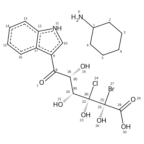 NC1CCCCC1.O=C(c1c[nH]c2ccccc12)[C@H](O)[C@@H](O)[C@@](O)(Cl)[C@@](O)(Br)C(=O)O